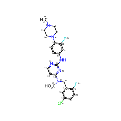 CN1CCN(c2ccc(Nc3nccc(N(Cc4cc(Cl)ccc4F)C(=O)O)n3)cc2F)CC1